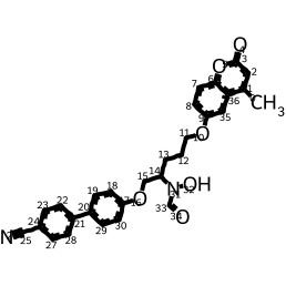 Cc1cc(=O)oc2ccc(OCCCC(COc3ccc(-c4ccc(C#N)cc4)cc3)N(O)C=O)cc12